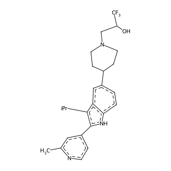 Cc1cc(-c2[nH]c3ccc(C4CCN(CC(O)C(F)(F)F)CC4)cc3c2C(C)C)ccn1